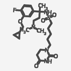 CN(C)CCC(C)(NS(=O)(=O)CCCCCN1CCC(=O)NC1=O)c1ccc(F)c(OCC2CC2)c1